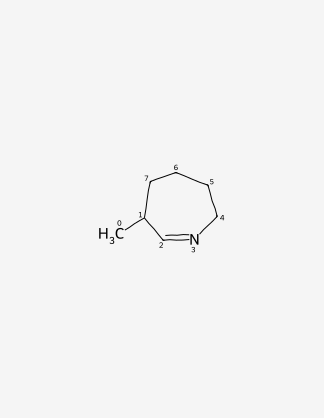 CC1C=NCCCC1